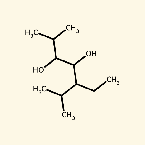 CCC(C(C)C)C(O)C(O)C(C)C